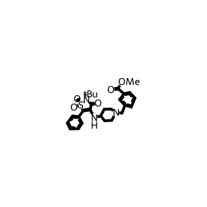 COC(=O)c1cccc(CN2CCC(NC3=C(c4ccccc4)S(=O)(=O)N(C(C)(C)C)C3=O)CC2)c1